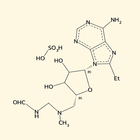 CCc1nc2c(N)ncnc2n1[C@@H]1O[C@H](CN(C)CNC=O)C(O)C1O.O=S(=O)(O)O